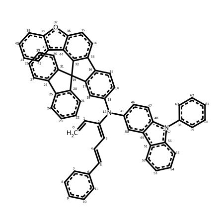 C=C/C(=C\C=C\c1ccccc1)N(c1ccc2c(c1)C1(c3ccccc3-c3ccccc31)c1c-2ccc2oc3ccccc3c12)c1ccc2c(c1)c1ccccc1n2-c1ccccc1